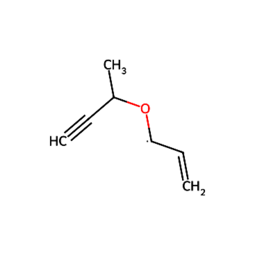 C#CC(C)O[CH]C=C